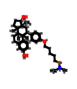 CC(=O)N(C)SCCCCCOc1ccc([C@H]2C[C@]3(C)[C@@H](O)CC[C@H]3[C@@H]3CCc4cc(O)ccc4[C@H]32)cc1